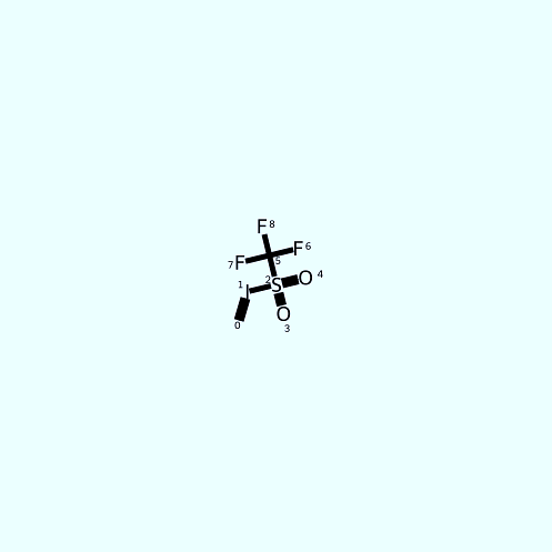 C=IS(=O)(=O)C(F)(F)F